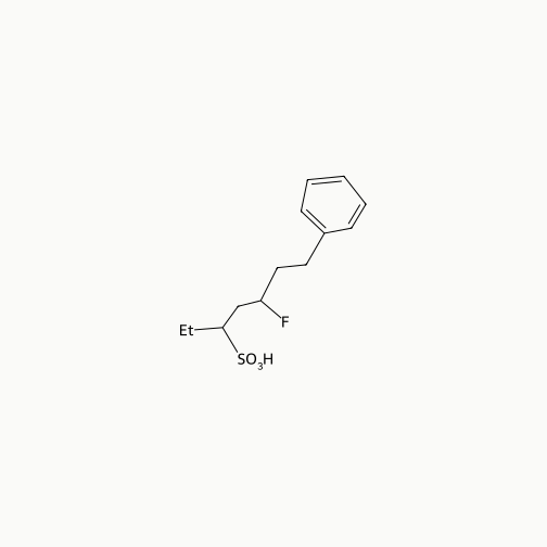 CCC(CC(F)CCc1ccccc1)S(=O)(=O)O